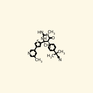 Cc1cncc(-c2csc([C@@]3(C)NC(=N)N(C)C(=O)[C@H]3c3ccc(C(C)(C)C#N)cc3)c2)c1